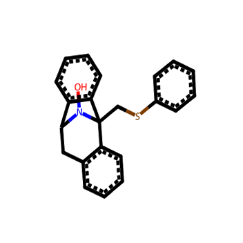 ON1C2Cc3ccccc3C1(CSc1ccccc1)c1ccccc12